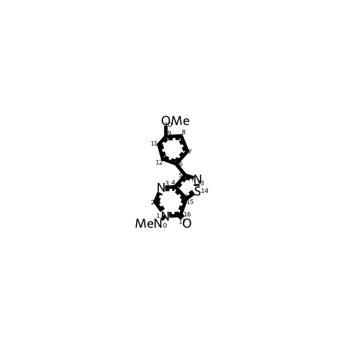 CNn1cnc2c(-c3ccc(OC)cc3)nsc2c1=O